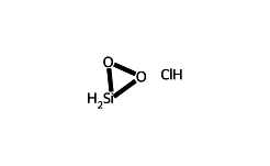 Cl.O1O[SiH2]1